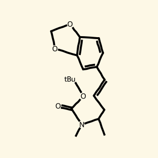 CC(CC=Cc1ccc2c(c1)OCO2)N(C)C(=O)OC(C)(C)C